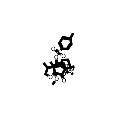 COC12OCC3(C)C4(OS(C)(=O)=O)CCC(C)C4(C=C(OS(=O)(=O)c4ccc(C)cc4)C13C)C2=O